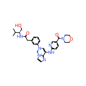 CC(C)[C@@H](CO)NC(=O)Cc1cccc(N2C=C(Nc3ccc(C(=O)N4CCOCC4)cn3)C3=NC=C[N+]3C2)c1